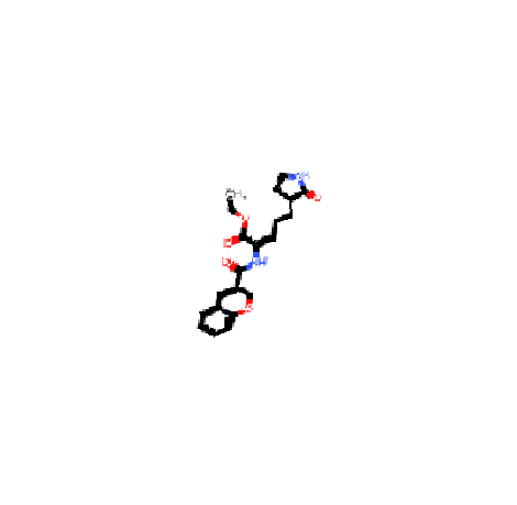 CCOC(=O)C(=CCC[C@H]1CCNC1=O)NC(=O)C1=Cc2ccccc2OC1